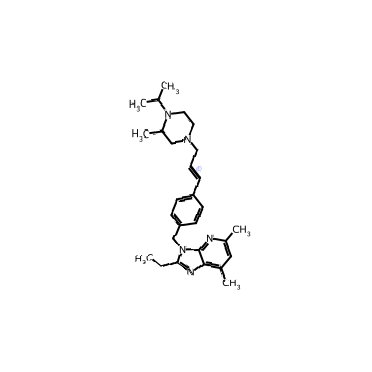 CCc1nc2c(C)cc(C)nc2n1Cc1ccc(/C=C/CN2CCN(C(C)C)C(C)C2)cc1